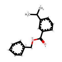 CC(C)c1cccc(C(=O)OCc2ccccc2)c1